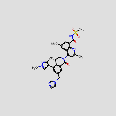 COc1cc(C(=O)NS(C)(=O)=O)c2nc(C)cc(N3CCc4c(cc(Cn5ccnc5)cc4-c4cn(C)nc4C(F)(F)F)C3=O)c2c1